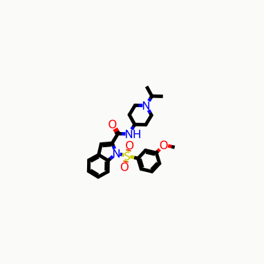 COc1cccc(S(=O)(=O)n2c(C(=O)NC3CCN(C(C)C)CC3)cc3ccccc32)c1